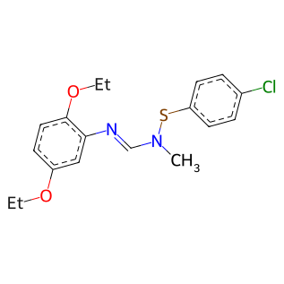 CCOc1ccc(OCC)c(N=CN(C)Sc2ccc(Cl)cc2)c1